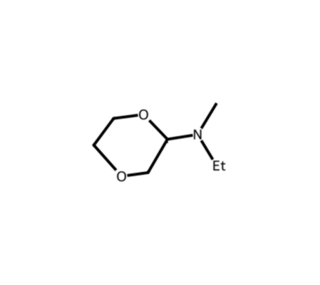 CCN(C)[C]1COCCO1